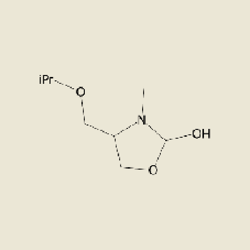 CC(C)OCC1COC(O)N1C